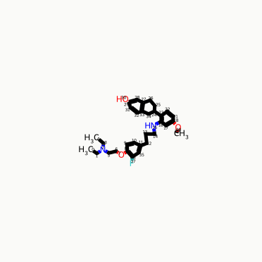 CCN(CC)CCOc1ccc(CCCNc2cc(OC)ccc2C2CCc3cc(O)ccc3C2)cc1F